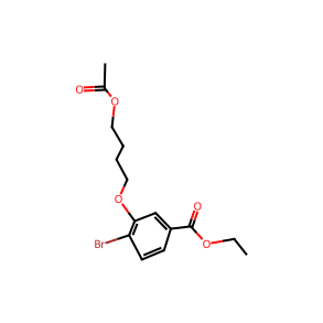 CCOC(=O)c1ccc(Br)c(OCCCCOC(C)=O)c1